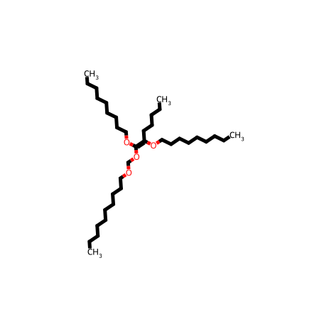 CCCCCCCCCCOCOC(OCCCCCCCCC)=C(CCCCC)OCCCCCCCCC